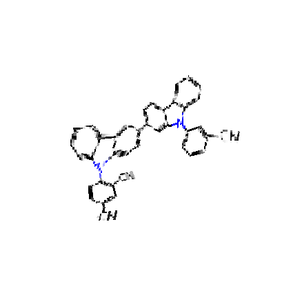 N#Cc1cccc(-n2c3ccccc3c3ccc(-c4ccc5c(c4)c4ccccc4n5-c4ccc(C#N)cc4C#N)cc32)c1